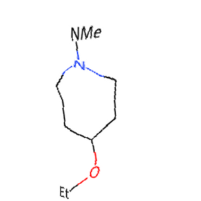 CCOC1CCN(NC)CC1